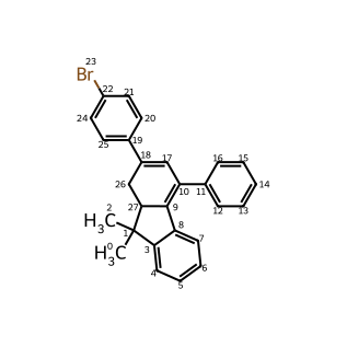 CC1(C)c2ccccc2C2=C(c3ccccc3)C=C(c3ccc(Br)cc3)CC21